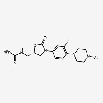 CCCC(=S)NC[C@H]1CN(c2ccc(N3CCN(C(C)=O)CC3)c(F)c2)C(=O)O1